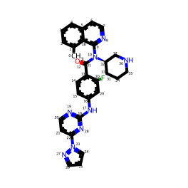 Cc1cccc2ccnc(N(C(=O)c3ccc(Nc4nccc(-n5cccn5)n4)cc3F)[C@@H]3CCCNC3)c12